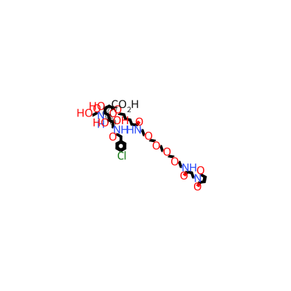 O=C(CCCCCO[C@]1(C(=O)O)C[C@H](O)[C@@H](NC(=O)CO)[C@H]([C@H](O)[C@H](O)CNC(=O)Cc2ccc(Cl)cc2)O1)NCCOCCOCCOCCOCCNC(=O)CCN1C(=O)C=CC1=O